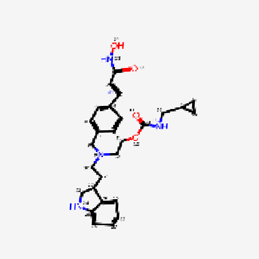 O=C(/C=C/c1ccc(CN(CCOC(=O)NCC2CC2)CCC2CNc3ccccc32)cc1)NO